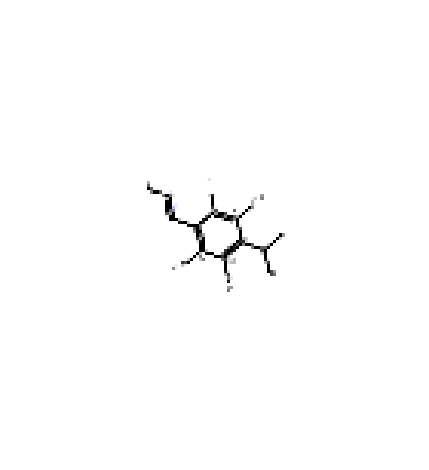 C/C=C/c1c(F)c(F)c(C(C)C)c(F)c1F